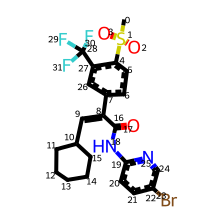 CS(=O)(=O)c1ccc(C(=CC2CCCCC2)C(=O)Nc2ccc(Br)cn2)cc1C(F)(F)F